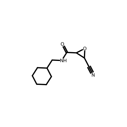 N#CC1OC1C(=O)NCC1CCCCC1